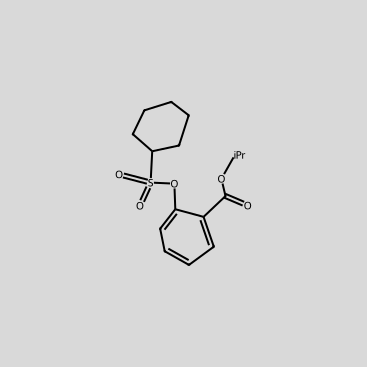 CC(C)OC(=O)c1ccccc1OS(=O)(=O)C1CCCCC1